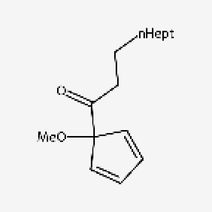 CCCCCCCCCC(=O)C1(OC)C=CC=C1